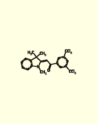 CN1C(=CC(=O)c2cc(C(Cl)(Cl)Cl)cc(C(Cl)(Cl)Cl)c2)C(C)(C)c2ccccc21